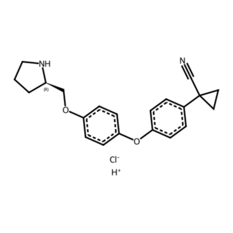 N#CC1(c2ccc(Oc3ccc(OC[C@H]4CCCN4)cc3)cc2)CC1.[Cl-].[H+]